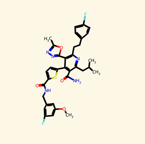 COc1cc(F)cc(CNC(=O)c2ccc(-c3c(C(N)=O)c(CC(C)C)nc(CCc4ccc(F)cc4)c3-c3nnc(C)o3)s2)c1